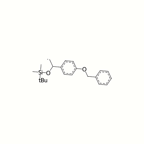 [CH2]C(O[Si](C)(C)C(C)(C)C)c1ccc(OCc2ccccc2)cc1